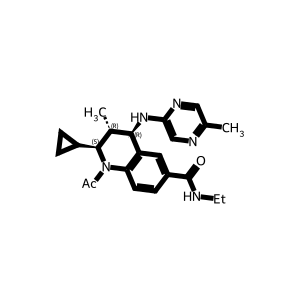 CCNC(=O)c1ccc2c(c1)[C@H](Nc1cnc(C)cn1)[C@@H](C)[C@H](C1CC1)N2C(C)=O